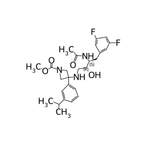 COC(=O)N1CC(NC[C@@H](O)[C@H](Cc2cc(F)cc(F)c2)NC(C)=O)(c2cccc(C(C)C)c2)C1